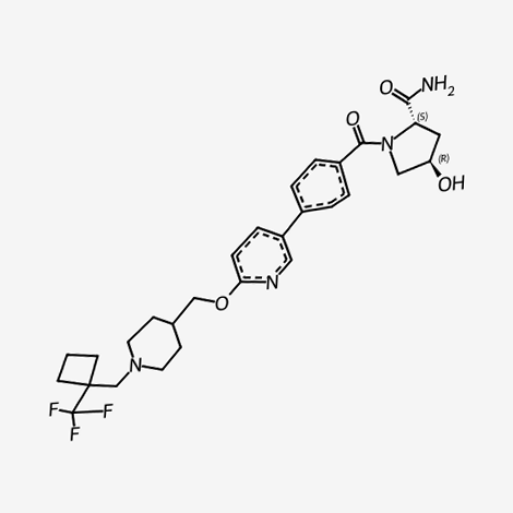 NC(=O)[C@@H]1C[C@@H](O)CN1C(=O)c1ccc(-c2ccc(OCC3CCN(CC4(C(F)(F)F)CCC4)CC3)nc2)cc1